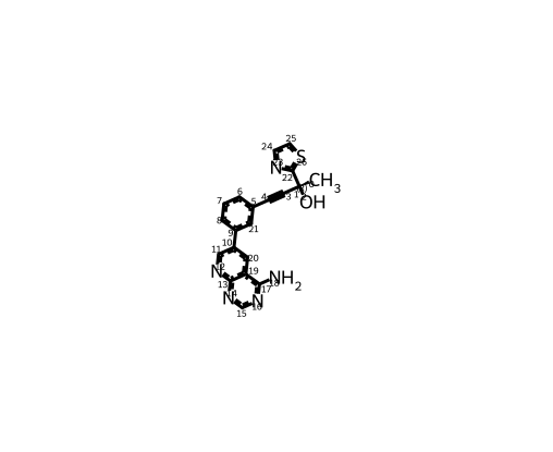 C[C@@](O)(C#Cc1cccc(-c2cnc3ncnc(N)c3c2)c1)c1nccs1